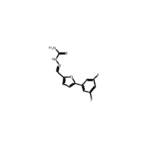 NC(=S)NN=Cc1ccc(-c2cc(F)cc(F)c2)o1